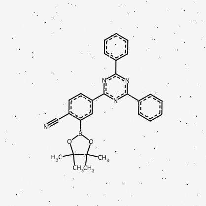 CC1(C)OB(c2cc(-c3nc(-c4ccccc4)nc(-c4ccccc4)n3)ccc2C#N)OC1(C)C